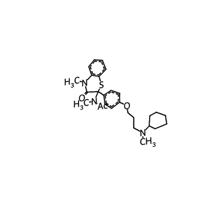 CC(=O)N(C)C1(c2ccc(OCCCN(C)C3CCCCC3)cc2)Sc2ccccc2N(C)C1=O